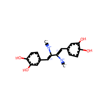 [C-]#[N+]C(=C\c1ccc(O)c(O)c1)/C(=C/c1ccc(O)c(O)c1)[N+]#[C-]